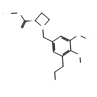 CCCc1cc(CN2CC[C@@H]2C(=O)OC)cc(OC)c1OC